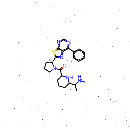 CNC(C)C1CCCC(C(=O)N2CCC[C@H]2c2nc3c(-c4ccccc4)ncnc3s2)N1